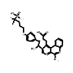 CC(Cc1ccc(OCCCC(F)(F)P(=O)(O)O)cc1)c1cnc2c(N)nc3ccccc3c2c1CCC(=O)O